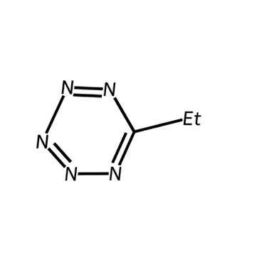 CCc1nnnnn1